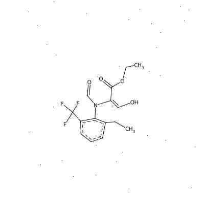 CCOC(=O)/C(=C\O)N(C=O)c1c(CC)cccc1C(F)(F)F